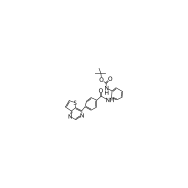 CC(C)(C)OC(=O)Nc1ccccc1NC(=O)c1ccc(-c2ncnc3ccsc23)cc1